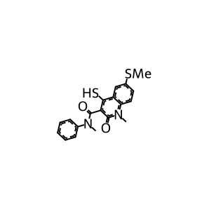 CSc1ccc2c(c1)c(S)c(C(=O)N(C)c1ccccc1)c(=O)n2C